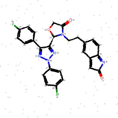 O=C1C=c2cc(CCN3C(=O)CO[C@@H]3c3nn(-c4ccc(Br)cc4)nc3-c3ccc(F)cc3)ccc2=N1